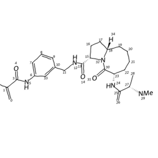 C=C(C)C(=O)Nc1cccc(CNC(=O)[C@@H]2CC[C@@H]3CCCC[C@H](NC(=C)[C@H](C)NC)C(=O)N32)c1